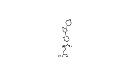 O=C(O)CCNC(=O)c1ccc(-c2noc(-c3ccncc3)n2)cc1